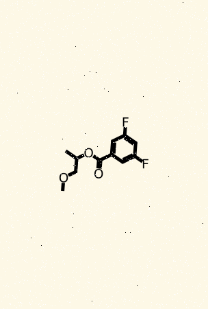 COCC(C)OC(=O)c1cc(F)cc(F)c1